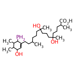 CC(CCCC(C)(O)CCCC(C)(O)CCCC(C)C(=O)O)CCC1=CC(O)C(C)C(C)C1P